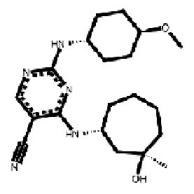 CO[C@H]1CC[C@H](Nc2ncc(C#N)c(N[C@@H]3CCCC[C@@](C)(O)C3)n2)CC1